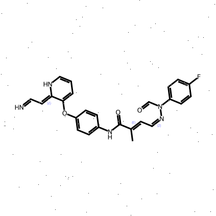 C/C(=C\C=N/N(C=O)c1ccc(F)cc1)C(=O)Nc1ccc(OC2=CC=CN/C2=C\C=N)cc1